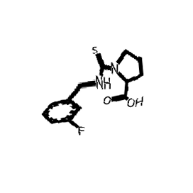 O=C(O)C1CCCN1C(=S)NCc1cccc(F)c1